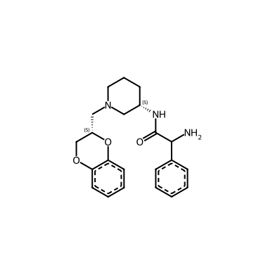 NC(C(=O)N[C@H]1CCCN(C[C@H]2COc3ccccc3O2)C1)c1ccccc1